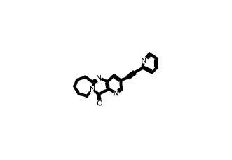 O=c1c2ncc(C#Cc3ccccn3)cc2nc2n1CCCCC2